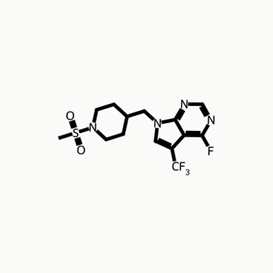 CS(=O)(=O)N1CCC(Cn2cc(C(F)(F)F)c3c(F)ncnc32)CC1